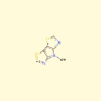 CCCn1c2ncsc2c2scnc21